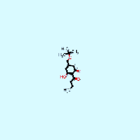 CCCC(=O)C1=C(O)CC(COC(C)(C)C)CC1=O